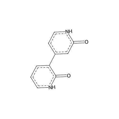 O=c1cc(-c2ccc[nH]c2=O)cc[nH]1